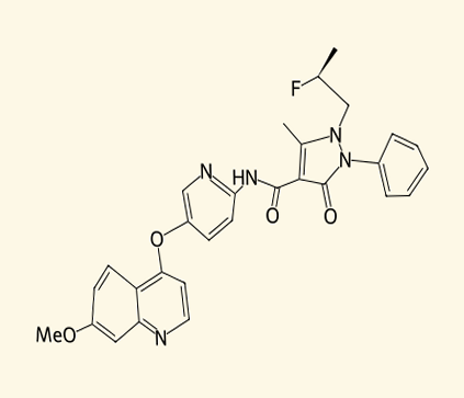 COc1ccc2c(Oc3ccc(NC(=O)c4c(C)n(C[C@H](C)F)n(-c5ccccc5)c4=O)nc3)ccnc2c1